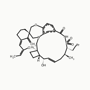 C=C1/C(=C\C(Cl)=C/C)CCC[C@]12COc1ccc3cc1N(C[C@@H]1CC[C@H]1[C@@H](O)/C=C/C[C@H](C)[C@@H](CC(C)C)S(=O)(=O)NC3=O)C2